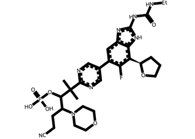 CCNC(=O)Nc1nc2cc(-c3cnc(C(C)(C)C(OP(=O)(O)O)C(CCC#N)N4CCOCC4)nc3)c(F)c([C@H]3CCCO3)c2[nH]1